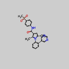 Cc1cc(C(=O)Nc2ccc(S(C)(=O)=O)cc2)c(C)n1-c1ccccc1-c1cncnc1